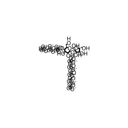 O=S(=O)([O-])[O-].O=S(=O)([O-])[O-].O=S(=O)([O-])[O-].O=S(=O)([O-])[O-].O=S(=O)([O-])[O-].O=S(=O)([O-])[O-].O=S(=O)([O-])[O-].O=S(=O)([O-])[O-].OC[C@H]1O[C@@](CO)(O[C@H]2O[C@H](CO)[C@@H](O)[C@H](O)[C@H]2O)[C@@H](O)[C@@H]1O.[Bi+5]